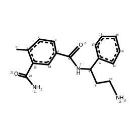 Cc1ccc(C(=O)NC(CCN)c2ccccc2)cc1C(N)=O